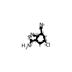 N#Cc1cc(Cl)cc2c(N)snc12